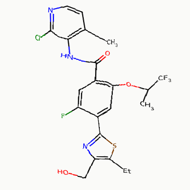 CCc1sc(-c2cc(OC(C)C(F)(F)F)c(C(=O)Nc3c(C)ccnc3Cl)cc2F)nc1CO